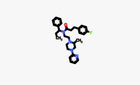 CCC(c1ccccc1)N(CCN1CCN(c2ccccn2)CC1C)C(=O)CCc1ccc(F)cc1